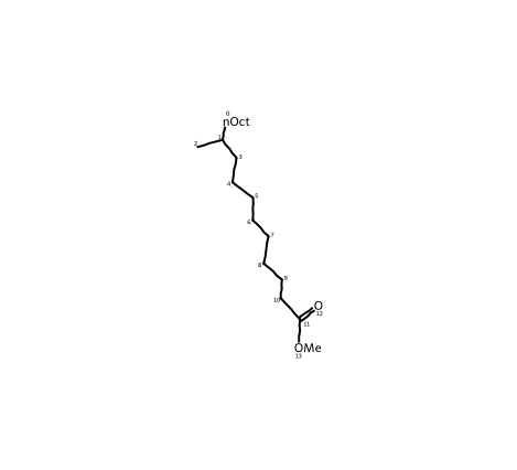 CCCCCCCCC(C)CCCCCCCCC(=O)OC